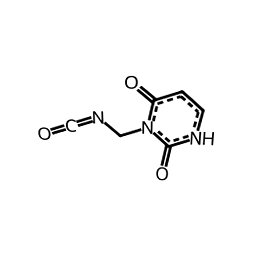 O=C=NCn1c(=O)cc[nH]c1=O